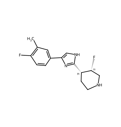 Cc1cc(-c2c[nH]c([C@H]3CCNC[C@H]3F)n2)ccc1F